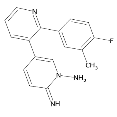 Cc1cc(-c2ncccc2-c2ccc(=N)n(N)c2)ccc1F